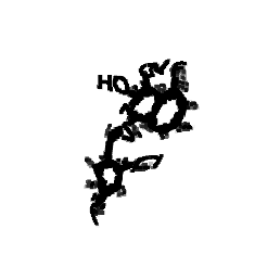 N#Cc1c(O)nc(SCc2ccc(F)cc2Cl)c2cccc(F)c12